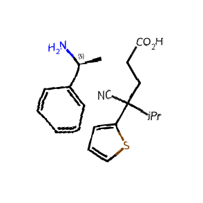 CC(C)C(C#N)(CCC(=O)O)c1cccs1.C[C@H](N)c1ccccc1